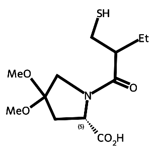 CCC(CS)C(=O)N1CC(OC)(OC)C[C@H]1C(=O)O